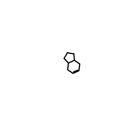 [CH]1CCC2CC=CCC12